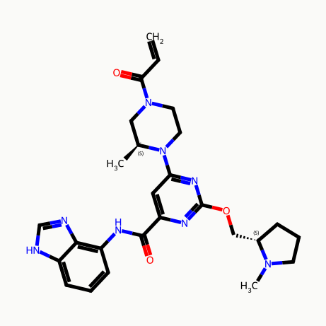 C=CC(=O)N1CCN(c2cc(C(=O)Nc3cccc4[nH]cnc34)nc(OC[C@@H]3CCCN3C)n2)[C@@H](C)C1